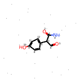 [NH]C(=O)C(C=O)c1ccc(O)cc1